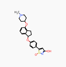 CN1CCC(Oc2cccc3c2CCC3Oc2ccc(-c3cc(O)n[s+]3[O-])cc2)CC1